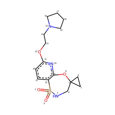 O=S1(=O)NCC2(CC2)Oc2nc(OCCN3CCCC3)ccc21